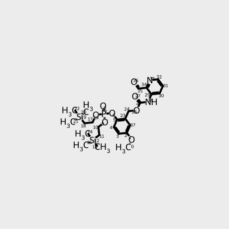 COc1ccc(OP(=O)(OCC[Si](C)(C)C)OCC[Si](C)(C)C)c(COC(=O)Nc2cccnc2C=O)c1